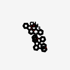 CC1(C)c2ccccc2-c2ccc(N(c3ccc4c(c3)C(c3ccccc3)(c3ccccc3-c3ccccc3)c3c(-c5ccccc5)cccc3-4)c3ccccc3-c3ccccc3)cc21